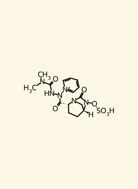 CN(C)C(=O)NN(C(=O)[C@H]1CC[C@@H]2CN1C(=O)N2OS(=O)(=O)O)[n+]1ccccc1